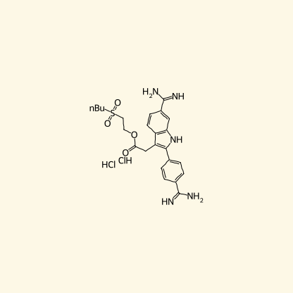 CCCCS(=O)(=O)CCOC(=O)Cc1c(-c2ccc(C(=N)N)cc2)[nH]c2cc(C(=N)N)ccc12.Cl.Cl